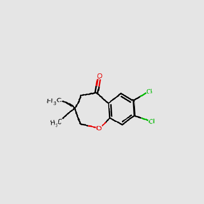 CC1(C)COc2cc(Cl)c(Cl)cc2C(=O)C1